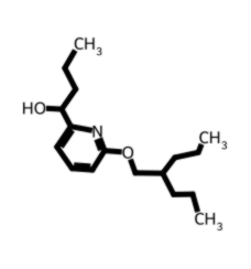 CCCC(CCC)COc1cccc(C(O)CCC)n1